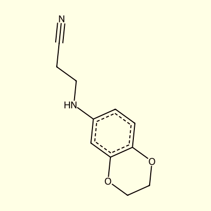 N#CCCNc1ccc2c(c1)OCCO2